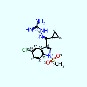 CS(=O)(=O)n1cc(C(=NNC(=N)N)C2CC2)c2cc(Cl)ccc21